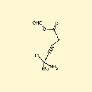 CC(C)(C)C(N)(Cl)C#CCC(=O)OC=O